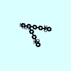 c1ccc2oc(-c3ccc(-c4ccc(-c5ccc(-c6ccncn6)nc5-c5ccc(-c6ccc(-c7nc8ccccc8o7)cc6)cc5)cc4)cc3)nc2c1